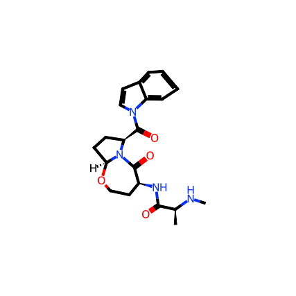 CN[C@@H](C)C(=O)N[C@H]1CCO[C@H]2CC[C@@H](C(=O)n3ccc4ccccc43)N2C1=O